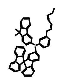 CC/C=C\C=C/Cc1cccc(N(c2ccc3c(c2)-c2ccccc2C3(C)C)c2ccc3c(c2)C2(c4ccccc4-c4ccccc42)c2ccccc2-3)c1